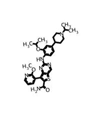 COc1ncccc1-c1c(C(N)=O)sc2cnc(Nc3ccc(C4CCN(C(C)C)CC4)cc3OC(C)C)nc12